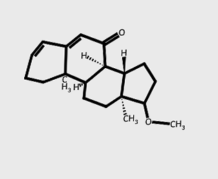 COC1CC[C@H]2[C@@H]3C(=O)C=C4C=CCC[C@]4(C)[C@@H]3CC[C@]12C